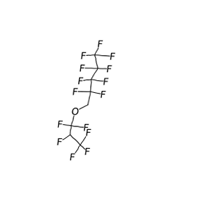 FC(C(F)(F)F)C(F)(F)OCC(F)(F)C(F)(F)C(F)(F)C(F)(F)F